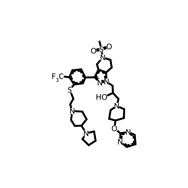 CS(=O)(=O)N1CCc2c(c(-c3ccc(C(F)(F)F)c(SCCN4CCC(N5CCCC5)CC4)c3)nn2CC(O)CN2CCC(Oc3ncccn3)CC2)C1